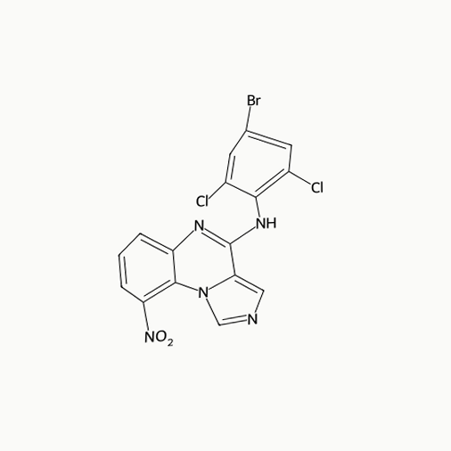 O=[N+]([O-])c1cccc2nc(Nc3c(Cl)cc(Br)cc3Cl)c3cncn3c12